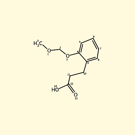 COCOc1ccccc1CCC(=O)O